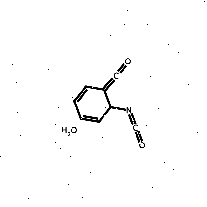 O.O=C=NC1C=CC=CC1=C=O